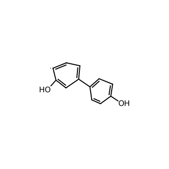 Oc1[c]ccc(-c2ccc(O)cc2)c1